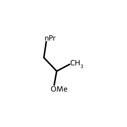 [CH2]OC(C)CCCC